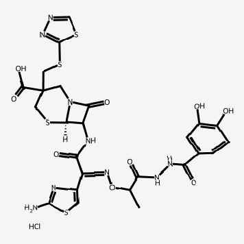 CC(ON=C(C(=O)NC1C(=O)N2CC(CSc3nncs3)(C(=O)O)CS[C@H]12)c1csc(N)n1)C(=O)NNC(=O)c1ccc(O)c(O)c1.Cl